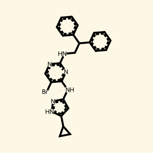 Brc1cnc(NCC(c2ccccc2)c2ccccc2)nc1Nc1cc(C2CC2)[nH]n1